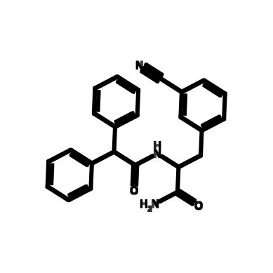 N#Cc1cccc(CC(NC(=O)C(c2ccccc2)c2ccccc2)C(N)=O)c1